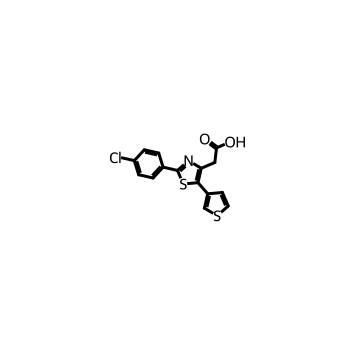 O=C(O)Cc1nc(-c2ccc(Cl)cc2)sc1-c1ccsc1